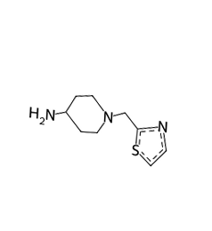 NC1CCN(Cc2nccs2)CC1